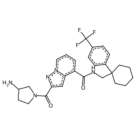 NC1CCN(C(=O)c2cc3c(C(=O)NCC4(c5ccc(C(F)(F)F)cc5)CCCCC4)cccn3n2)C1